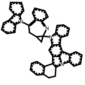 c1ccc2c(c1)CCc1c-2c2cc3c(c4ccccc4n3C34CC3CC(n3c5ccccc5c5ccccc53)=c3ccccc3=N4)c3c4ccccc4n1c23